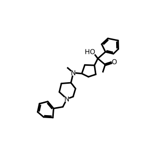 CC(=O)C(O)(c1ccccc1)C1CCC(N(C)C2CCN(Cc3ccccc3)CC2)C1